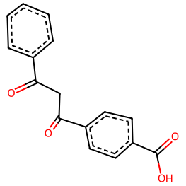 O=C(O)c1ccc(C(=O)CC(=O)c2ccccc2)cc1